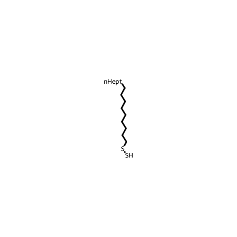 CCCCCCCCCCCCCCCCSS